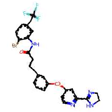 O=C(CCc1cccc(Oc2ccnc(C3=NCCN3)c2)c1)Nc1cc(C(F)(F)F)ccc1Br